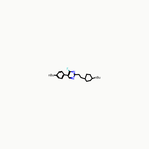 CCCCc1ccc(-c2cnc(CCC3CCC(CCCC)CC3)nc2F)cc1